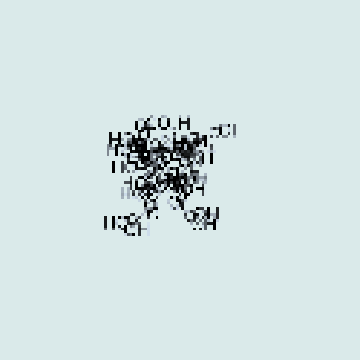 C[C@@H]1O[C@H](OC[C@H]2O[C@@H](Oc3cc4c(O[C@@H]5O[C@H](COC(=O)CC(=O)O)[C@@H](O)[C@H](O)[C@H]5O)cc(O)cc4[o+]c3-c3cc(O[C@@H]4O[C@H](COC(=O)C=Cc5ccc(O)c(O)c5)[C@@H](O)[C@H](O)[C@H]4O)c(O)c(O[C@@H]4O[C@H](COC(=O)C=Cc5ccc(O)c(O)c5)[C@@H](O)[C@H](O)[C@H]4O)c3)[C@H](O)[C@@H](O)[C@@H]2O)[C@H](O)[C@H](O)[C@H]1OC(=O)C=Cc1ccc(O)cc1